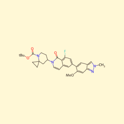 COc1cc2nn(C)cc2cc1-c1cc(F)c2c(=O)n(C3CCN(C(=O)OC(C)(C)C)C4(CC4)C3)ccc2c1